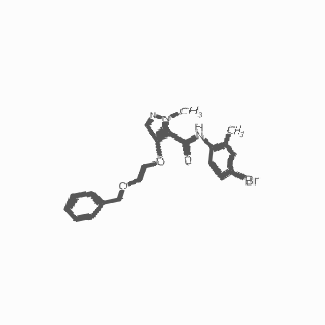 Cc1cc(Br)ccc1NC(=O)c1c(OCCOCc2ccccc2)cnn1C